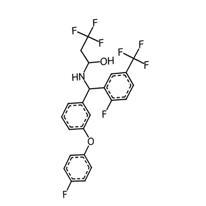 OC(CC(F)(F)F)NC(c1cccc(Oc2ccc(F)cc2)c1)c1cc(C(F)(F)F)ccc1F